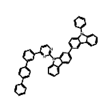 c1ccc(-c2ccc(-c3cccc(-c4ccnc(-n5c6ccccc6c6ccc(-c7ccc8c(c7)c7ccccc7n8-c7ccccc7)cc65)n4)c3)cc2)cc1